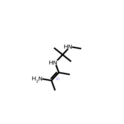 CNC(C)(C)N/C(C)=C(/C)N